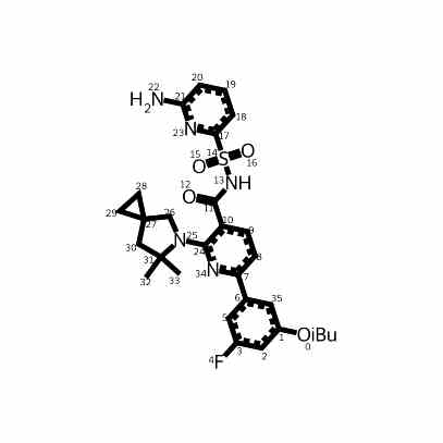 CC(C)COc1cc(F)cc(-c2ccc(C(=O)NS(=O)(=O)c3cccc(N)n3)c(N3CC4(CC4)CC3(C)C)n2)c1